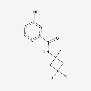 CC1(NC(=O)c2cc(N)ccn2)CC(F)(F)C1